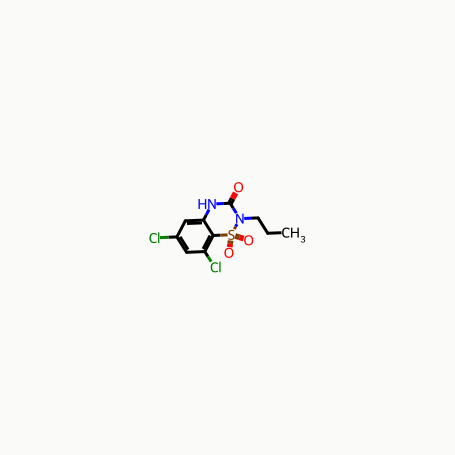 CCCN1C(=O)Nc2cc(Cl)cc(Cl)c2S1(=O)=O